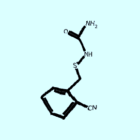 N#Cc1ccccc1CSNC(N)=O